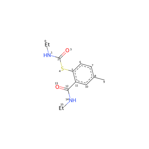 CCNC(=O)Sc1ccc(C)cc1C(=O)NCC